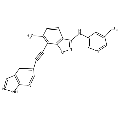 Cc1ccc2c(Nc3cncc(C(F)(F)F)c3)noc2c1C#Cc1cnc2[nH]ncc2c1